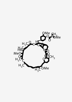 COC1C(=O)C(C)C[C@H](C)/C=C/C=C/C=C(\C)[C@@H](OC)CC2CCC(C)C(O)(O2)C(=O)C(=O)N2CCC3CC2C(=O)O[C@@H](CC(=O)[C@H](C)/C=C(\C)[C@H]1O)[C@H]3C[C@@H]1CC[C@@H](OC(=O)N(C)OC)C(OC)C1